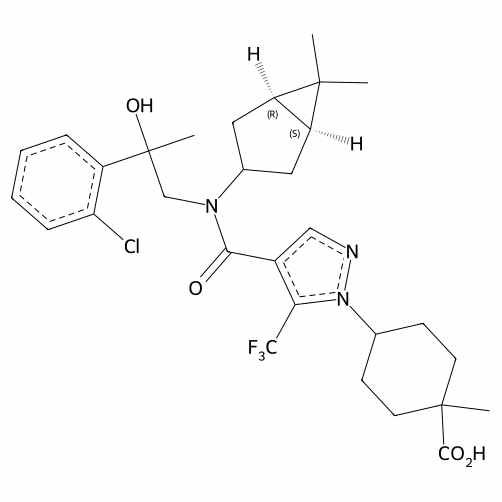 CC1(C(=O)O)CCC(n2ncc(C(=O)N(CC(C)(O)c3ccccc3Cl)C3C[C@@H]4[C@H](C3)C4(C)C)c2C(F)(F)F)CC1